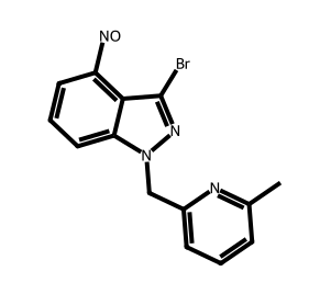 Cc1cccc(Cn2nc(Br)c3c(N=O)cccc32)n1